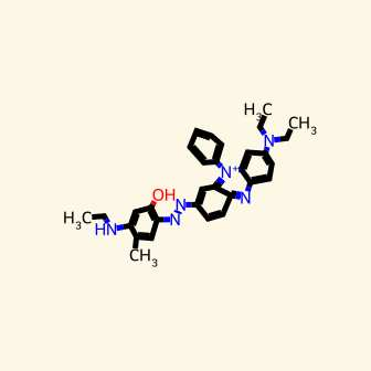 CCNc1cc(O)c(/N=N/c2ccc3nc4ccc(N(CC)CC)cc4[n+](-c4ccccc4)c3c2)cc1C